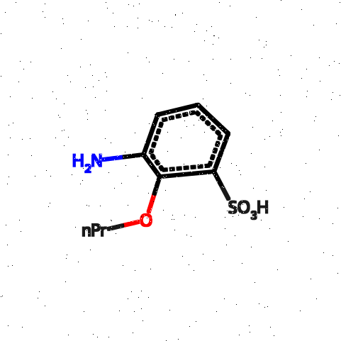 CCCOc1c(N)cccc1S(=O)(=O)O